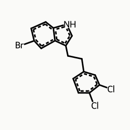 Clc1ccc(CCc2c[nH]c3ccc(Br)cc23)cc1Cl